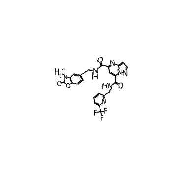 Cn1c(=O)oc2ccc(CNC(=O)c3cc(C(=O)NCc4cccc(C(F)(F)F)n4)n4nccc4n3)cc21